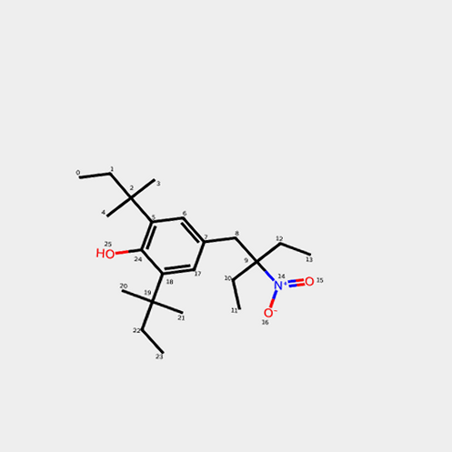 CCC(C)(C)c1cc(CC(CC)(CC)[N+](=O)[O-])cc(C(C)(C)CC)c1O